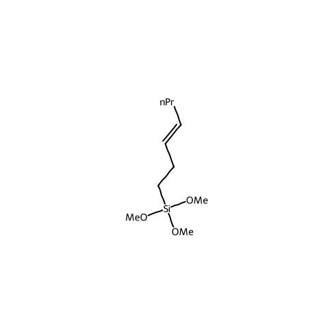 CCCC=CCC[Si](OC)(OC)OC